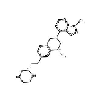 C[C@H]1CN(c2ccnc3c2cnn3C)Cc2ccc(OC[C@H]3CNCCN3)cc21